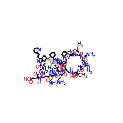 CNC(=O)c1ccccc1Sc1ccc2c(/C=C/c3ccccn3)nn(C(=O)N(C)CCNC(=O)[C@H](CCC(=O)O)NC(=O)CCC(=O)N[C@@H](CCN)C(=O)N[C@H](C(=O)N[C@@H](CCN)C(=O)N[C@H]3CCNC(=O)[C@H]([C@@H](C)O)NC(=O)[C@H](CCN)NC(=O)[C@H](CCN)NC(=O)[C@H](CC(C)C)NC(=O)[C@@H](Cc4ccccc4)NC(=O)[C@H](CCN)NC3=O)[C@@H](C)O)c2c1